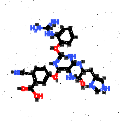 N#Cc1ccc(OC2=C3NC(=O)C(Cc4c[nH]cn4)N=C3NC(Oc3ccccc3NC(=N)N)=N2)cc1C(=O)O